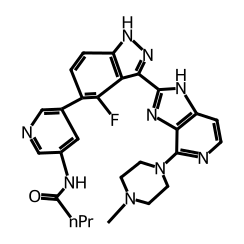 CCCC(=O)Nc1cncc(-c2ccc3[nH]nc(-c4nc5c(N6CCN(C)CC6)nccc5[nH]4)c3c2F)c1